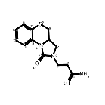 NC(=O)CCN1CC2CSc3ccccc3N2C1=O